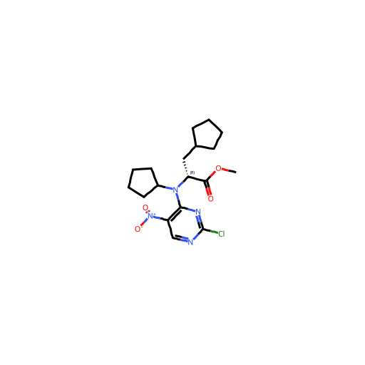 COC(=O)[C@@H](CC1CCCC1)N(c1nc(Cl)ncc1[N+](=O)[O-])C1CCCC1